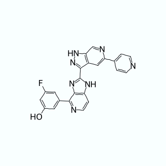 Oc1cc(F)cc(-c2nccc3[nH]c(-c4n[nH]c5cnc(-c6ccncc6)cc45)nc23)c1